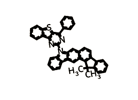 CC1(C)c2ccccc2-c2ccc3cc4c(cc3c21)c1ccccc1n4-c1nc(-c2ccccc2)c2sc3ccccc3c2n1